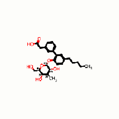 CCCCCc1ccc(O[C@H]2O[C@H](CO)[C@@H](O)[C@H](C)[C@@H]2O)c(-c2cccc(CC(=O)O)c2)c1